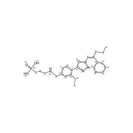 CCC/C(=C/c1nnc(-c2ccc(CNCCCP(=O)(O)O)cc2CC)o1)c1ccccc1